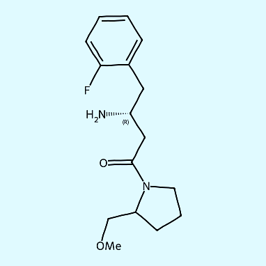 COCC1CCCN1C(=O)C[C@H](N)Cc1ccccc1F